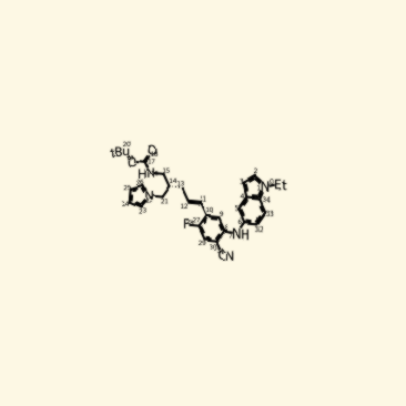 CCn1ccc2cc(Nc3cc(/C=C/C[C@@H](CNC(=O)OC(C)(C)C)Cn4cccc4)c(F)cc3C#N)ccc21